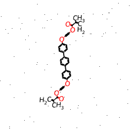 C=C(C)C(=O)OC#COc1ccc(-c2ccc(-c3ccc(OC#COC(=O)C(=C)C)cc3)cc2)cc1